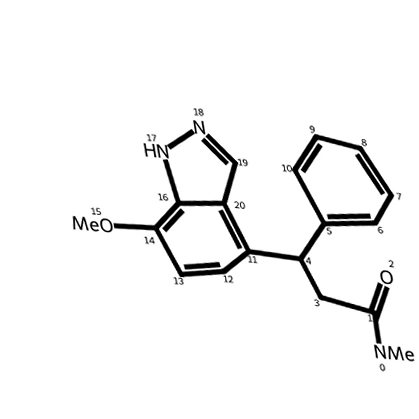 CNC(=O)CC(c1ccccc1)c1ccc(OC)c2[nH]ncc12